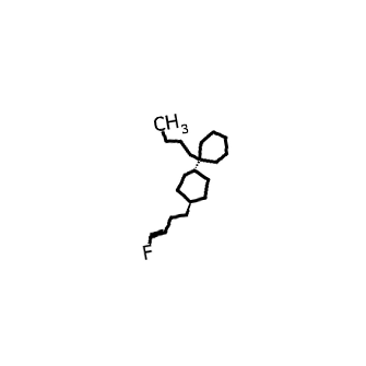 CCCCC1([C@H]2CC[C@H](CC/C=C/F)CC2)CCCCC1